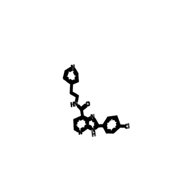 O=C(NCCc1ccncc1)c1ccnc2[nH]c(-c3ccc(Cl)cc3)nc12